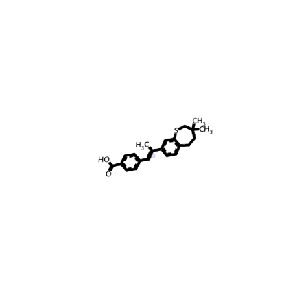 C/C(=C\c1ccc(C(=O)O)cc1)c1ccc2c(c1)SCC(C)(C)CC2